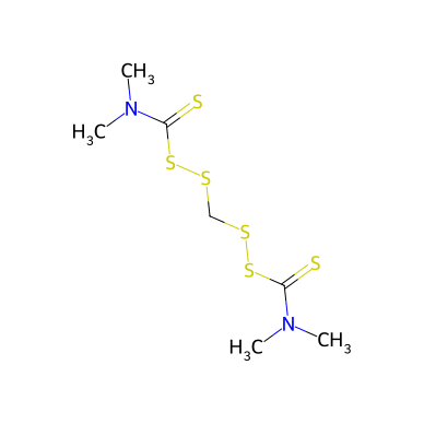 CN(C)C(=S)SSCSSC(=S)N(C)C